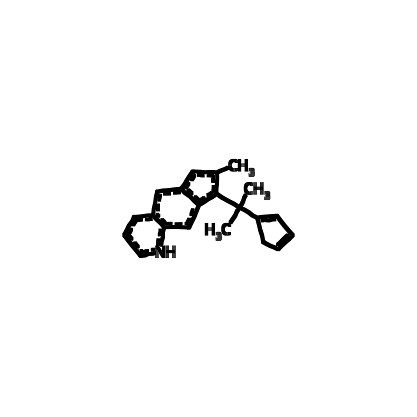 Cc1cc2cc3ccc[nH]c3cc2c1C(C)(C)C1=CC=CC1